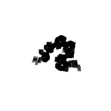 C[C@@H]1OCCn2ncc(Nc3nccc(-c4cccc(-c5cc([C@@H]6CCN(C)C6=O)on5)n4)n3)c21